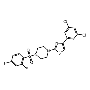 O=S(=O)(c1ccc(F)cc1F)N1CCN(c2nc(-c3cc(Cl)cc(Cl)c3)cs2)CC1